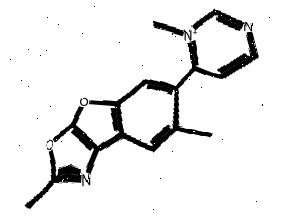 Cc1nc2c(o1)oc1cc(-c3ccnc[n+]3C)c(C)cc12